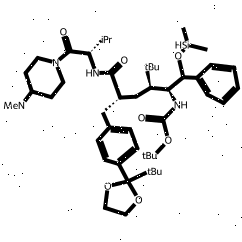 CNC1CCN(C(=O)[C@@H](NC(=O)[C@@H](Cc2ccc(C3(C(C)(C)C)OCCO3)cc2)C[C@H]([C@H](NC(=O)OC(C)(C)C)C(O[SiH](C)C)c2ccccc2)C(C)(C)C)C(C)C)CC1